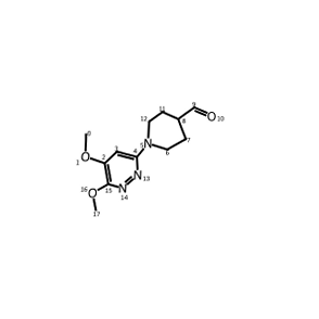 COc1cc(N2CCC(C=O)CC2)nnc1OC